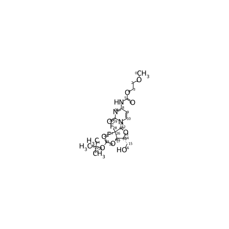 COCCOC(=O)Nc1ccn([C@@H]2O[C@H](CO)[C@@H](OC(=O)OC(C)(C)C)C2(F)F)c(=O)n1